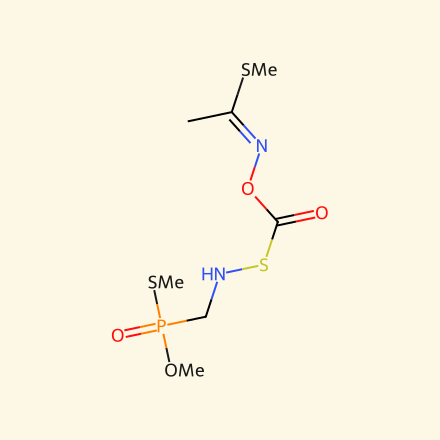 COP(=O)(CNSC(=O)ON=C(C)SC)SC